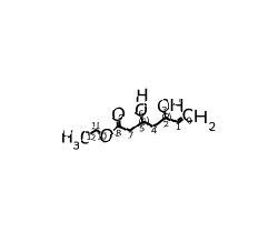 C=C[C@H](O)C[C@H](O)CC(=O)OCC